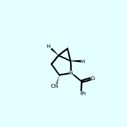 [C-]#[N+][C@@H]1C[C@@H]2C[C@@H]2N1C(=O)C(C)C